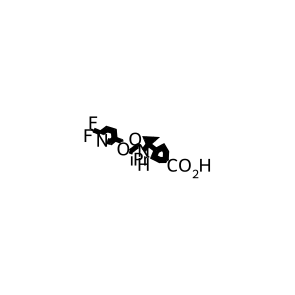 CC(C)[C@@H](OCc1ccc(C(F)F)nc1)C(=O)NC1(c2ccc(C(=O)O)cc2)CC1